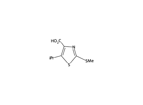 CSc1nc(C(=O)O)c(C(C)C)s1